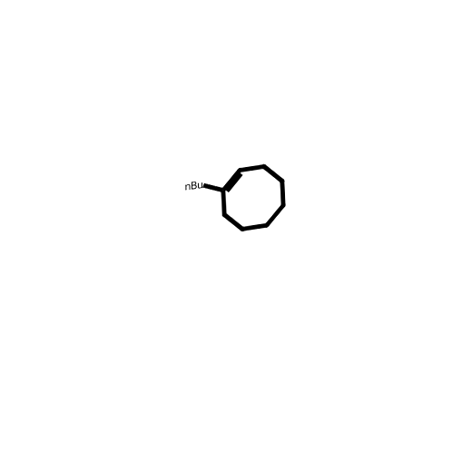 CC[CH]CC1=CCCCCCC1